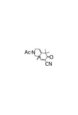 CC(=O)N1CC=C2C(C)(C)C(=O)C(C#N)=C[C@]2(C)C1